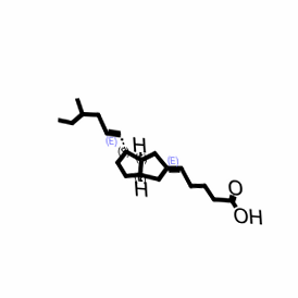 CCC(C)C/C=C/[C@H]1CC[C@@H]2C/C(=C\CCCC(=O)O)C[C@@H]21